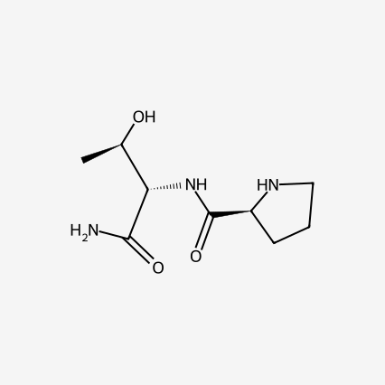 C[C@@H](O)[C@H](NC(=O)[C@@H]1CCCN1)C(N)=O